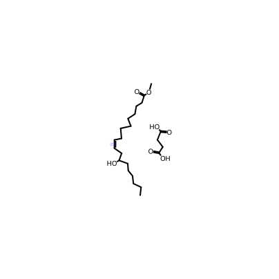 CCCCCCC(O)C/C=C\CCCCCCCC(=O)OC.O=C(O)CCC(=O)O